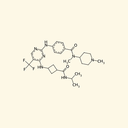 CC(C)NC(=O)C1CC(Nc2nc(Nc3ccc(C(=O)N(C)C4CCN(C)CC4)cc3)ncc2C(F)(F)F)C1